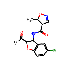 CC(=O)C1Oc2ccc(Br)cc2C1NC(=O)C1C=NOC1C